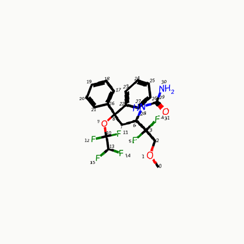 COCC(F)(F)C(CC(OC(F)(F)C(F)F)(c1ccccc1)c1ccccc1)NC(N)=O